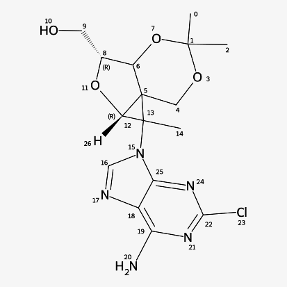 CC1(C)OCC23C(O1)[C@@H](CO)O[C@H]2C3(C)n1cnc2c(N)nc(Cl)nc21